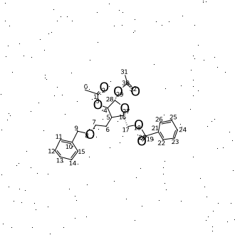 CC(=O)OC1C(CCOCc2ccccc2)[C@@H](COC(=O)c2ccccc2)O[C@H]1OC(C)=O